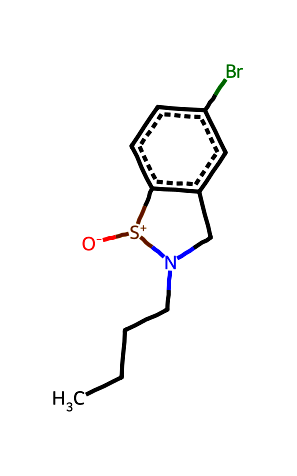 CCCCN1Cc2cc(Br)ccc2[S+]1[O-]